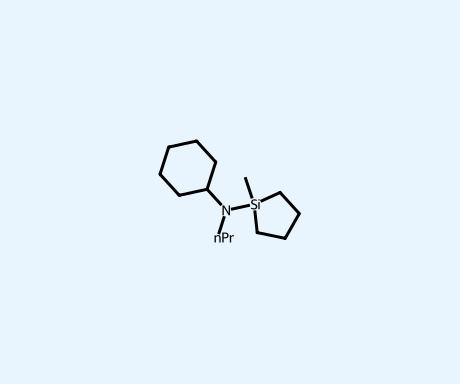 CCCN(C1CCCCC1)[Si]1(C)CCCC1